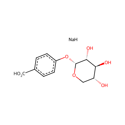 O=C(O)c1ccc(O[C@H]2OC[C@@H](O)[C@H](O)[C@H]2O)cc1.[NaH]